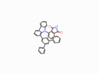 CN1C(=O)c2cccc(-n3c4ccccc4c4cccc(-c5cc(-c6ccccc6)cc(-c6ccccc6)c5)c43)c2C1=O